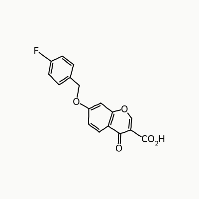 O=C(O)c1coc2cc(OCc3ccc(F)cc3)ccc2c1=O